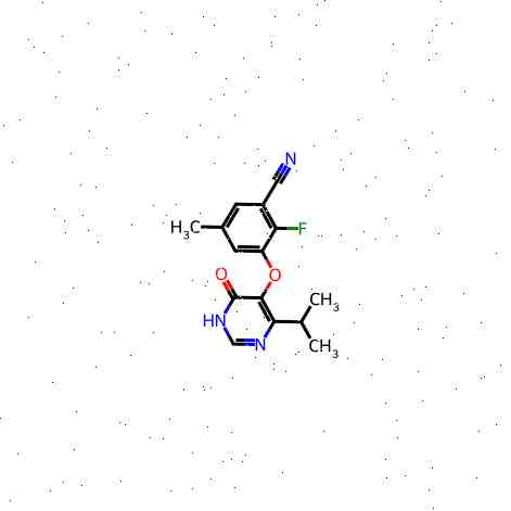 Cc1cc(C#N)c(F)c(Oc2c(C(C)C)nc[nH]c2=O)c1